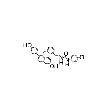 O=C(NCCc1cccc(Cc2c(-c3ccc(O)cc3)ccc3cc(O)ccc23)c1)Nc1ccc(Cl)cc1